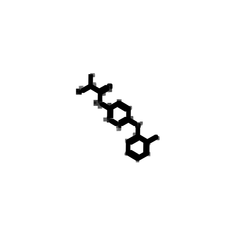 Cc1ccccc1Oc1ccc(NC(=O)C(C)Br)nn1